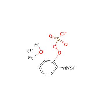 CCCCCCCCCc1ccccc1OOS(=O)(=O)[O-].CCOCC.[Li+]